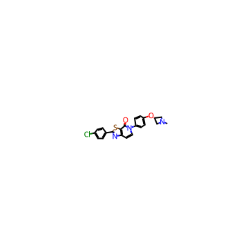 CN1CC(Oc2ccc(-n3ccc4nc(-c5ccc(Cl)cc5)sc4c3=O)cc2)C1